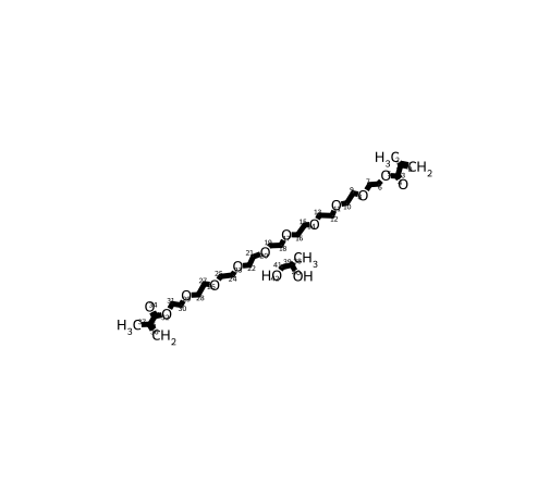 C=C(C)C(=O)OCCOCCOCCOCCOCCOCCOCCOCCOCCOC(=O)C(=C)C.CC(O)CO